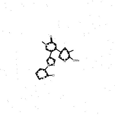 COc1ncc(-c2cc(=O)n(C)cc2-c2cnn(-c3ccccc3Cl)c2)cc1C